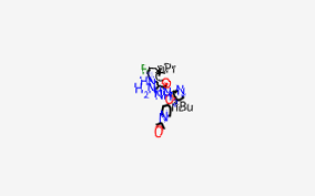 CCCCC1(OC2CCN(C3COC3)CC2)CC=NCC1NC(=O)C(C(N)N)C1CC(C)(CCC)CC/C(F)=C\N1